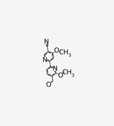 COc1cc(-c2ccc(C=O)c(OC)n2)ncc1C#N